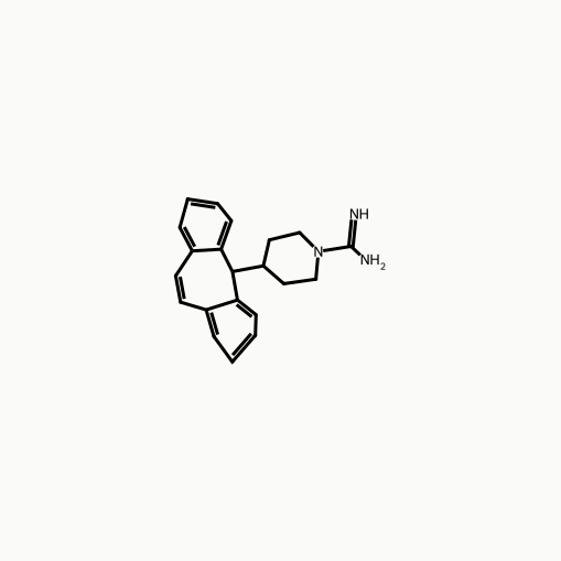 N=C(N)N1CCC(C2c3ccccc3C=Cc3ccccc32)CC1